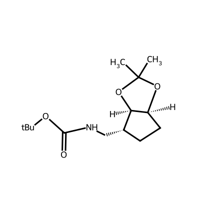 CC(C)(C)OC(=O)NC[C@H]1CC[C@@H]2OC(C)(C)O[C@H]12